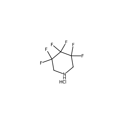 Cl.FC1(F)CNCC(F)(F)C1(F)F